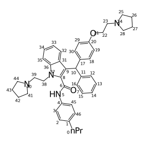 CCCc1ccc(NC(=O)c2c(C(c3ccccc3)c3ccc(OCCN4CCCC4)cc3)c3ccccc3n2CCN2CCCC2)cc1